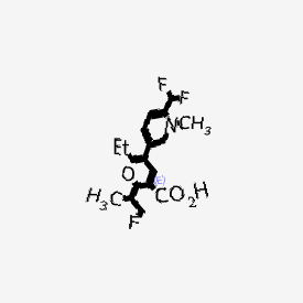 CCC=C(/C=C(/C(=O)O)C(=O)C(C)CF)C1=CC=C(C(F)F)N(C)C1